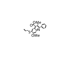 C=CCSc1cc2c(C(=O)OC)c(C)c(-c3ccccc3)nc2cc1OC